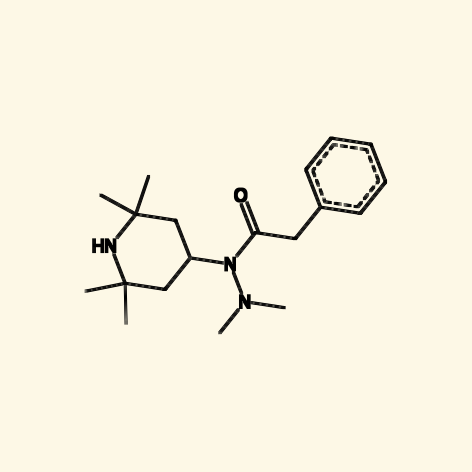 CN(C)N(C(=O)Cc1ccccc1)C1CC(C)(C)NC(C)(C)C1